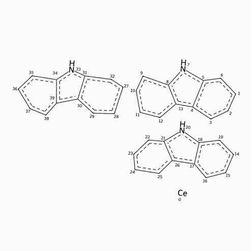 [Ce].c1ccc2c(c1)[nH]c1ccccc12.c1ccc2c(c1)[nH]c1ccccc12.c1ccc2c(c1)[nH]c1ccccc12